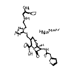 O=C(O)CNCCn1nnnc1SCC1=C(C(=O)O)N2C(=O)C(NC(=O)Cc3cccs3)[C@H]2SC1.[NaH].[NaH]